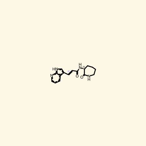 O=C(/C=C/c1c[nH]c2ncccc12)N[C@H]1CCCCNC1=O